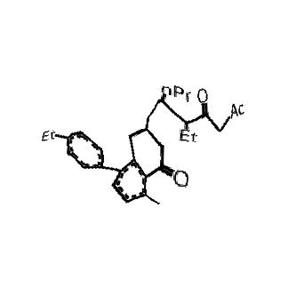 CCCC(CC1CC(=O)c2c(C)ccc(-c3ccc(CC)cc3)c2C1)C(CC)C(=O)CC(C)=O